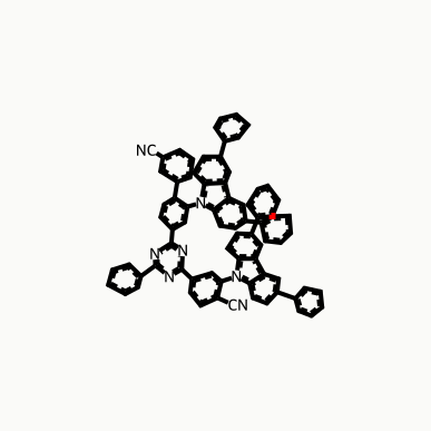 N#Cc1cccc(-c2ccc(-c3nc(-c4ccccc4)nc(-c4ccc(C#N)c(-n5c6ccc(-c7ccccc7)cc6c6cc(-c7ccccc7)ccc65)c4)n3)cc2-n2c3ccc(-c4ccccc4)cc3c3cc(-c4ccccc4)ccc32)c1